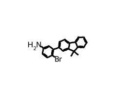 CC1(C)c2ccccc2-c2ccc(-c3cc(N)ccc3Br)cc21